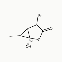 CC(C)C1C(=O)O[C@@]2(O)C(C)C12